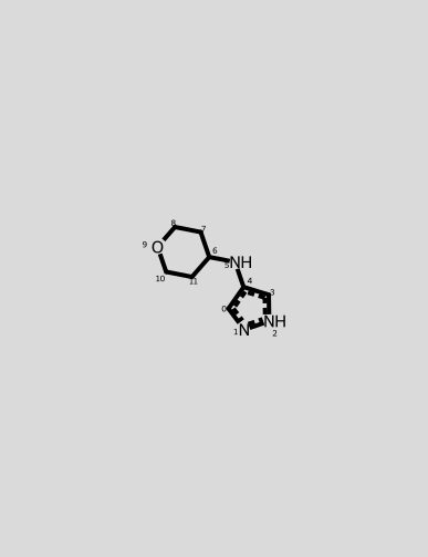 c1n[nH]cc1NC1CCOCC1